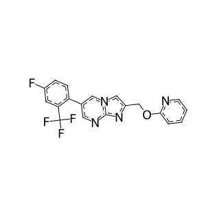 Fc1ccc(-c2cnc3nc(COc4ccccn4)cn3c2)c(C(F)(F)F)c1